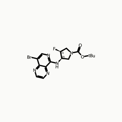 CC(C)(C)OC(=O)N1C[C@H](F)[C@H](Nc2ncc(Br)c3nccnc23)C1